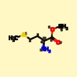 CSCC[C@H](N)C(=O)O[SiH3]